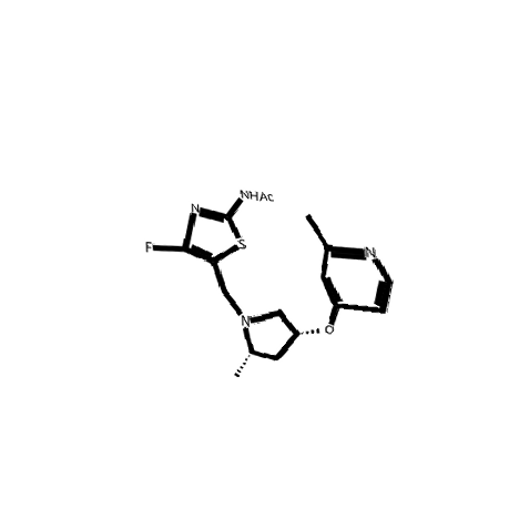 CC(=O)Nc1nc(F)c(CN2C[C@H](Oc3ccnc(C)c3)C[C@@H]2C)s1